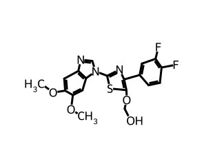 COc1cc2ncn(-c3nc(-c4ccc(F)c(F)c4)c(OCO)s3)c2cc1OC